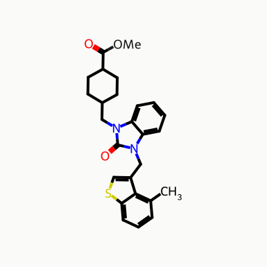 COC(=O)C1CCC(Cn2c(=O)n(Cc3csc4cccc(C)c34)c3ccccc32)CC1